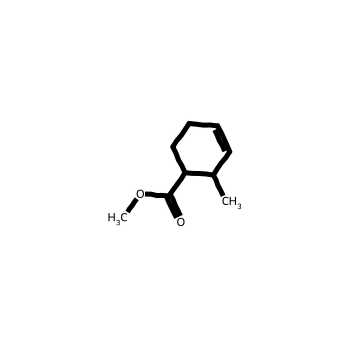 COC(=O)C1CCC=CC1C